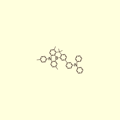 Cc1ccc(N2c3ccc(C)cc3B3c4cc(-c5cccc(N(c6ccccc6)c6ccccc6)c5)ccc4C(C)(C)c4c(C)ccc2c43)cc1